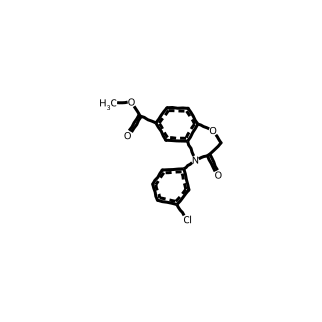 COC(=O)c1ccc2c(c1)N(c1cccc(Cl)c1)C(=O)CO2